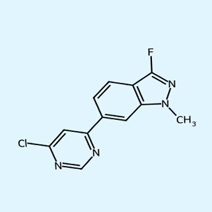 Cn1nc(F)c2ccc(-c3cc(Cl)ncn3)cc21